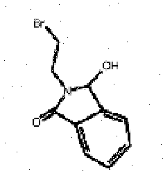 O=C1c2ccccc2C(O)N1CCBr